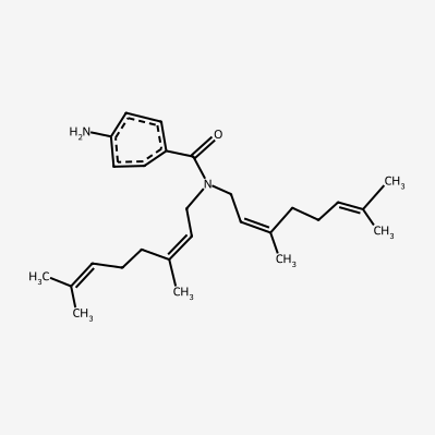 CC(C)=CCCC(C)=CCN(CC=C(C)CCC=C(C)C)C(=O)c1ccc(N)cc1